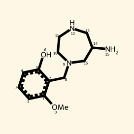 COc1cccc(O)c1CN1CCNCC(N)C1